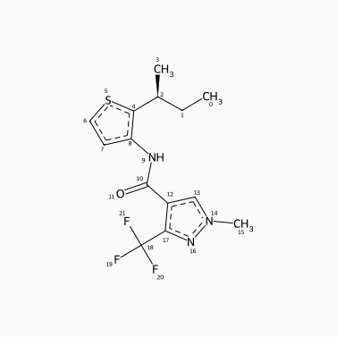 CC[C@H](C)c1sccc1NC(=O)c1cn(C)nc1C(F)(F)F